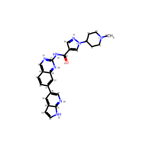 CN1CCC(n2cc(C(=O)Nc3ncc4ccc(-c5cnc6[nH]ccc6c5)cc4n3)cn2)CC1